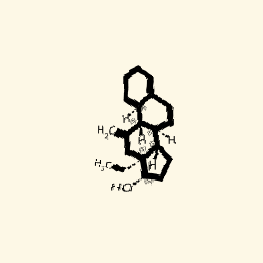 C=C1C[C@]2(CC)[C@@H](O)CC[C@H]2[C@@H]2CCC3=CCCC[C@@H]3[C@@H]12